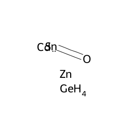 [Cd].[GeH4].[O]=[Sn].[Zn]